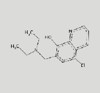 CCN(CC)Cc1cc(Cl)c2cccnc2c1O